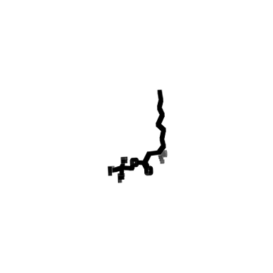 CCCCCCCC[C@H](C)CC(=O)OCC(F)(F)F